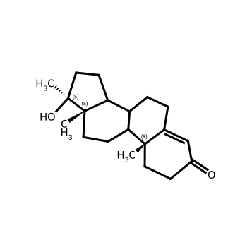 C[C@]12CCC(=O)C=C1CCC1C2CC[C@@]2(C)C1CC[C@]2(C)O